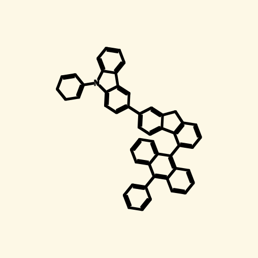 C1=CC(n2c3ccccc3c3cc(-c4ccc5c(c4)Cc4cccc(-c6c7ccccc7c(-c7ccccc7)c7ccccc67)c4-5)ccc32)=CCC1